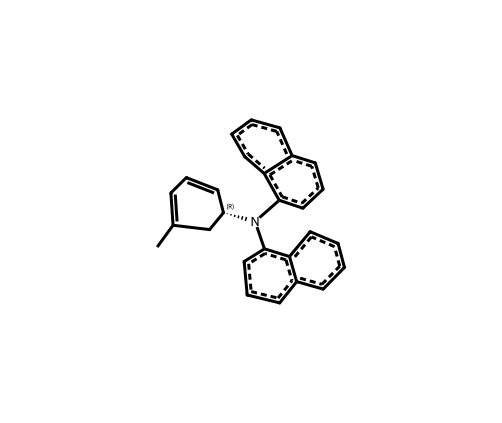 CC1=CC=C[C@H](N(c2cccc3ccccc23)c2cccc3ccccc23)C1